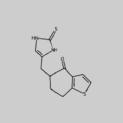 O=C1c2ccsc2CCC1Cc1c[nH]c(=S)[nH]1